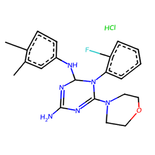 Cc1ccc(NC2N=C(N)N=C(N3CCOCC3)N2c2ccccc2F)cc1C.Cl